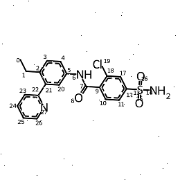 CCc1ccc(NC(=O)c2ccc(S(N)(=O)=O)cc2Cl)cc1-c1ccccn1